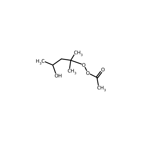 CC(=O)OOC(C)(C)CC(C)O